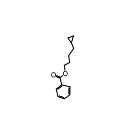 O=C(OCCCCC1CC1)c1ccccc1